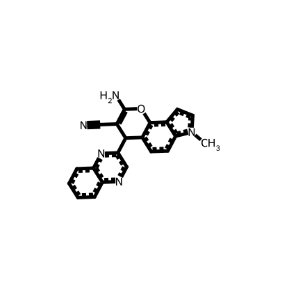 Cn1ccc2c3c(ccc21)C(c1cnc2ccccc2n1)C(C#N)=C(N)O3